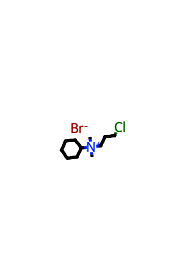 C[N+](C)(CCCCl)C1CCCCC1.[Br-]